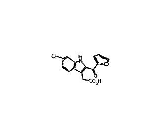 O=C(O)Cc1c(C(=O)c2ccco2)[nH]c2cc(Cl)ccc12